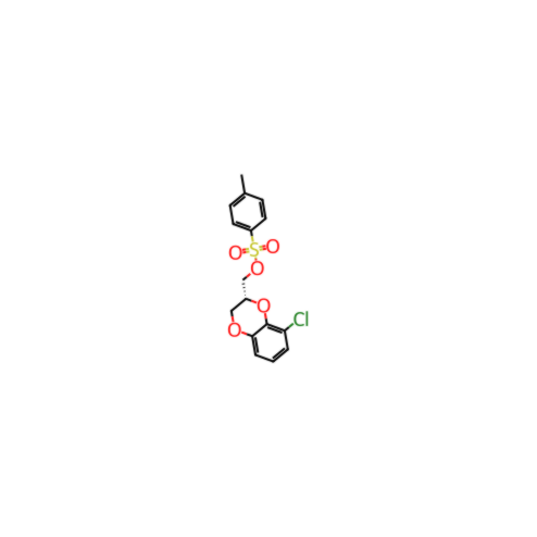 Cc1ccc(S(=O)(=O)OC[C@H]2COc3cccc(Cl)c3O2)cc1